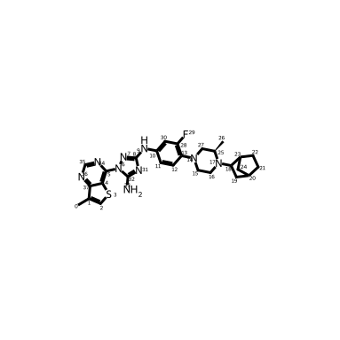 Cc1csc2c(-n3nc(Nc4ccc(N5CCN(C6CC7CCC6C7)[C@H](C)C5)c(F)c4)nc3N)ncnc12